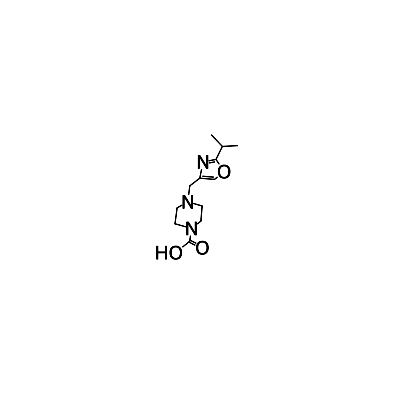 CC(C)c1nc(CN2CCN(C(=O)O)CC2)co1